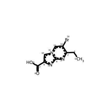 CCc1nc2nc(C(=O)O)cn2cc1Br